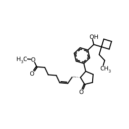 CCCC1(C(O)c2cccc(C3CCC(=O)[C@@H]3C/C=C\CCCC(=O)OC)c2)CCC1